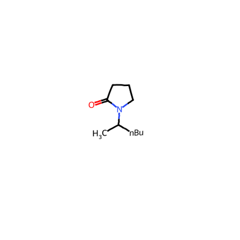 CCCCC(C)N1CCCC1=O